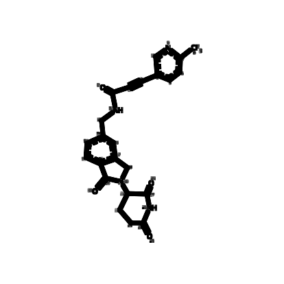 O=C(C#Cc1ccc(C(F)(F)F)nc1)NCc1ccc2c(c1)CN(C1CCC(=O)NC1=O)C2=O